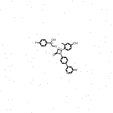 Cc1cc(O)ccc1[C@@H]1[C@@H](SC[C@H](O)c2ccc(F)cc2)C(=O)N1c1ccc(-c2cncc(F)c2)cc1